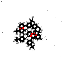 Cc1cc(C)c2c(c1)C1(C)CCc3ccccc3C1(C)N2c1cc2c3c(c1)N(c1ccc(C(C)(C)C)cc1-c1ccccc1)c1ccc(C(C)(C)C)cc1B3c1cc(C(C)(C)C)ccc1N2c1ccc(C(C)(C)C)cc1-c1ccccc1